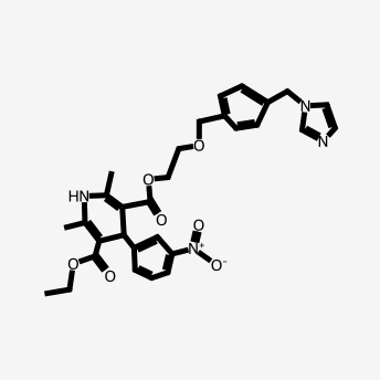 CCOC(=O)C1=C(C)NC(C)=C(C(=O)OCCOCc2ccc(Cn3ccnc3)cc2)C1c1cccc([N+](=O)[O-])c1